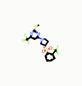 CSc1nc(N2CC[C@H](S(=O)(=O)c3ccccc3C(F)(F)F)C2)cc(C(F)(F)F)n1